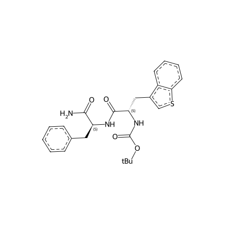 CC(C)(C)OC(=O)N[C@@H](Cc1csc2ccccc12)C(=O)N[C@@H](Cc1ccccc1)C(N)=O